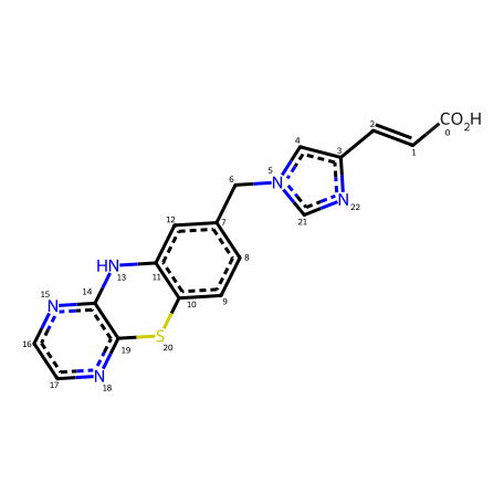 O=C(O)C=Cc1cn(Cc2ccc3c(c2)Nc2nccnc2S3)cn1